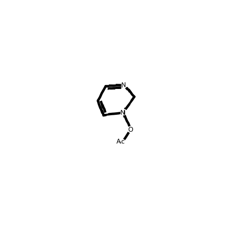 CC(=O)ON1C=CC=NC1